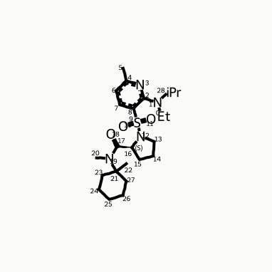 CCN(c1nc(C)ccc1S(=O)(=O)N1CCC[C@H]1C(=O)N(C)C1(C)CCCCC1)C(C)C